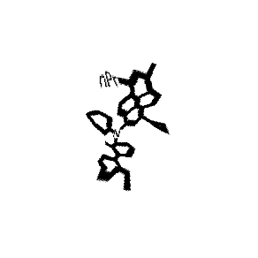 C=Cc1ccccc1-c1cccc(N(c2ccccc2)c2cc(C3CC3)c3ccc4c(C)cc(CCC)c5ccc2c3c45)c1C